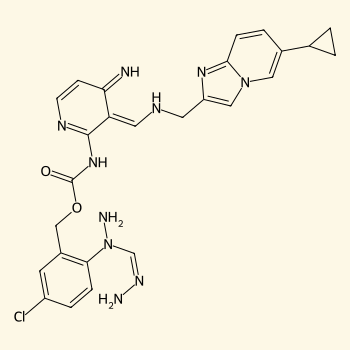 N=C1C=CN=C(NC(=O)OCc2cc(Cl)ccc2N(N)/C=N\N)/C1=C/NCc1cn2cc(C3CC3)ccc2n1